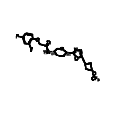 O=C(COc1ccc(F)cc1F)N[C@H]1CC[C@H](c2nnc(C3CC(OC(F)(F)F)C3)o2)OC1